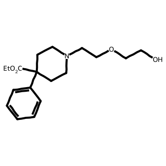 CCOC(=O)C1(c2ccccc2)CCN(CCOCCO)CC1